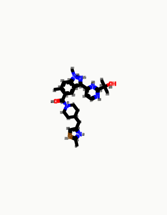 Cc1nc(CC2CCN(C(=O)c3cc4c(-c5ccnc(C(C)(C)O)n5)nn(C)c4cc3C)CC2)cs1